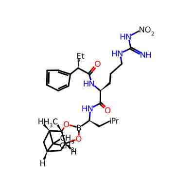 CC[C@@H](C(=O)N[C@@H](CCCNC(=N)N[N+](=O)[O-])C(=O)N[C@@H](CC(C)C)B1O[C@@H]2C[C@@H]3C[C@@H](C3(C)C)[C@]2(C)O1)c1ccccc1